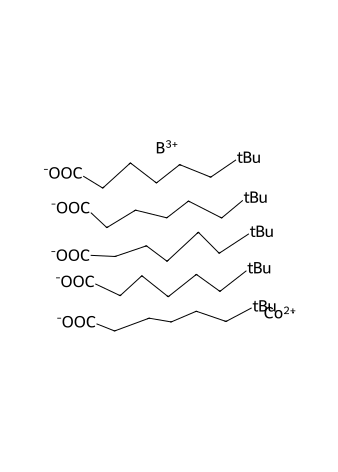 CC(C)(C)CCCCCC(=O)[O-].CC(C)(C)CCCCCC(=O)[O-].CC(C)(C)CCCCCC(=O)[O-].CC(C)(C)CCCCCC(=O)[O-].CC(C)(C)CCCCCC(=O)[O-].[B+3].[Co+2]